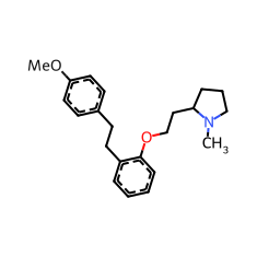 COc1ccc(CCc2ccccc2OCCC2CCCN2C)cc1